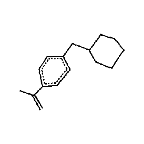 C=C(C)c1ccc(CC2CCCCC2)cc1